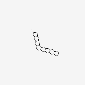 Nc1ccc2cc3cc4c(ccc5cc6cc7cc8ccccc8cc7cc6cc54)cc3cc2c1